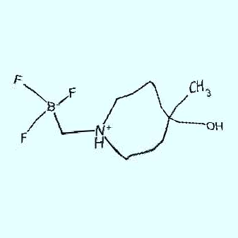 CC1(O)CC[NH+](C[B-](F)(F)F)CC1